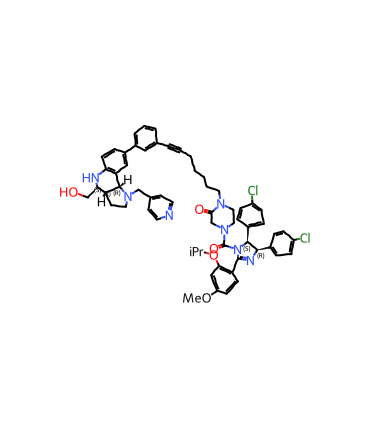 COc1ccc(C2=N[C@H](c3ccc(Cl)cc3)[C@H](c3ccc(Cl)cc3)N2C(=O)N2CCN(CCCCCC#Cc3cccc(-c4ccc5c(c4)[C@H]4[C@H](CCN4Cc4ccncc4)[C@@H](CO)N5)c3)C(=O)C2)c(OC(C)C)c1